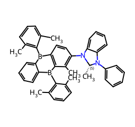 Cc1cccc(C)c1B1c2ccccc2B(c2c(C)cccc2C)c2c1ccc(N1c3ccccc3N(c3ccccc3)[C@@H]1C)c2C